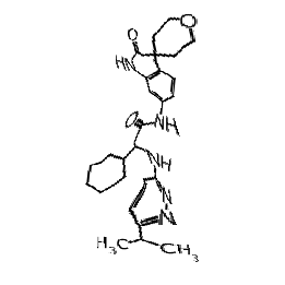 CC(C)c1ccc(NC(C(=O)Nc2ccc3c(c2)NC(=O)C32CCOCC2)C2CCCCC2)nn1